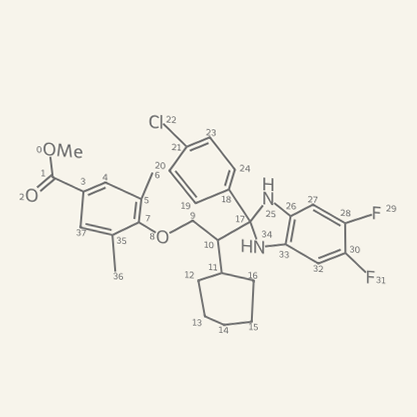 COC(=O)c1cc(C)c(OCC(C2CCCCC2)C2(c3ccc(Cl)cc3)Nc3cc(F)c(F)cc3N2)c(C)c1